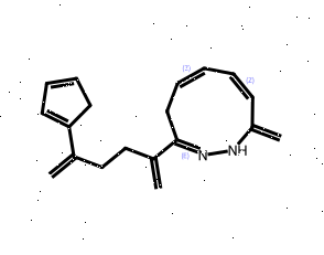 C=C1/C=C\C=C/C/C(C(=C)CCC(=C)C2=CC=CC2)=N\N1